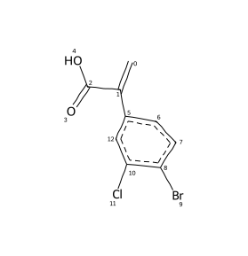 C=C(C(=O)O)c1ccc(Br)c(Cl)c1